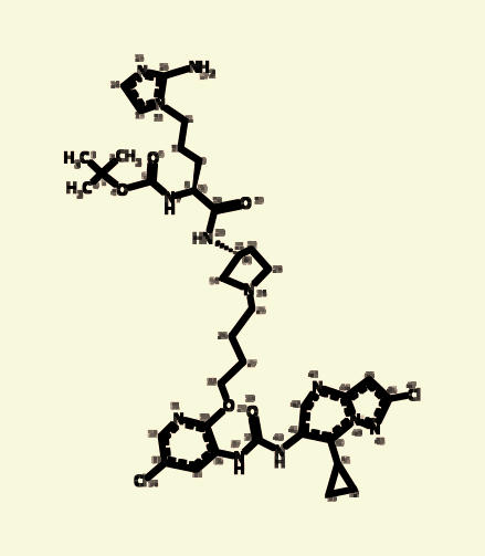 CC(C)(C)OC(=O)N[C@@H](CCCn1ccnc1N)C(=O)N[C@@H]1CCN(CCCCOc2ncc(Cl)cc2NC(=O)Nc2cnc3cc(Cl)nn3c2C2CC2)C1